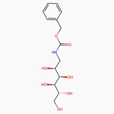 O=C(NC[C@H](O)[C@@H](O)[C@H](O)[C@H](O)CO)OCc1ccccc1